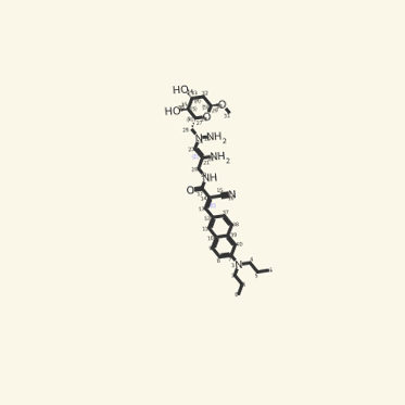 CCCN(CCC)c1ccc2cc(/C=C(\C#N)C(=O)NC/C(N)=C/N(N)C[C@H]3O[C@H](OC)C[C@@H](O)[C@@H]3O)ccc2c1